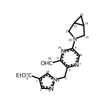 CCOC(=O)c1cnn(Cc2ncc(N3CC4CC4C3)nc2C=O)c1